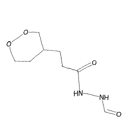 O=CNNC(=O)CCC1CCOOC1